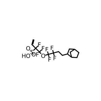 C=CC(F)(C(F)(F)OC(F)(F)C(F)(F)CCC1CC2CCC1C2)S(=O)(=O)O